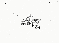 CCCCCC(C)C(C)(C)c1cc(C(C)(C)C)cc(C(C)(CCCCC)Pc2ccccc2C(C)(C)O)c1O